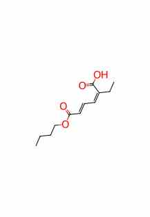 CCCCOC(=O)C=CC=C(CC)C(=O)O